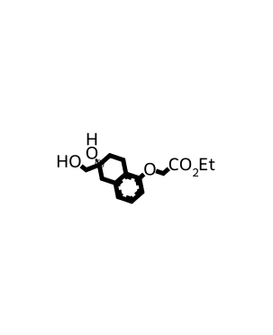 CCOC(=O)COc1cccc2c1CC[C@](O)(CO)C2